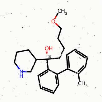 COCCCC[C@@](O)(c1ccccc1-c1ccccc1C)C1CCCNC1